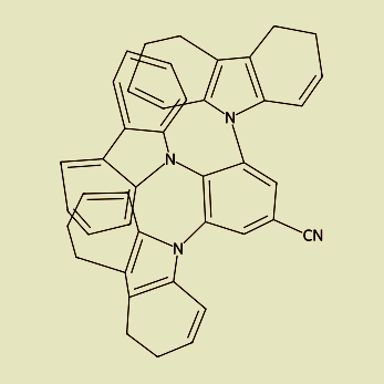 N#Cc1cc(-n2c3c(c4c2C=CCC4)CCC=C3)c(-n2c3ccccc3c3ccccc32)c(-n2c3c(c4c2C=CCC4)CCC=C3)c1